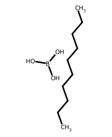 CCCCCCCCCC.OB(O)O